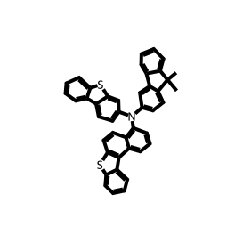 CC1(C)c2ccccc2-c2cc(N(c3ccc4c(c3)sc3ccccc34)c3cccc4c3ccc3sc5ccccc5c34)ccc21